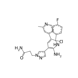 Cc1cc(C2=CC(c3cnn(CCC(N)=O)c3)=C(N)NC2(Cl)c2ccc(F)cc2)ccn1